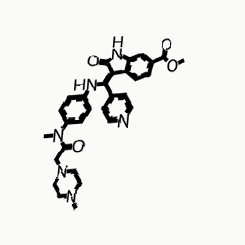 COC(=O)c1ccc2c(c1)NC(=O)/C2=C(\Nc1ccc(N(C)C(=O)CN2CCN(C)CC2)cc1)c1ccncc1